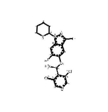 N[C@@H](Oc1cc2c(I)nn(C3CCCCO3)c2cc1F)c1c(Cl)cncc1Cl